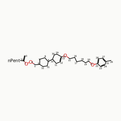 C=C(CCC[CH-][CH2+])OOCC1CCC(C2CC=C(OCCCCCCOc3ccc(C)cc3)CC2)CC1